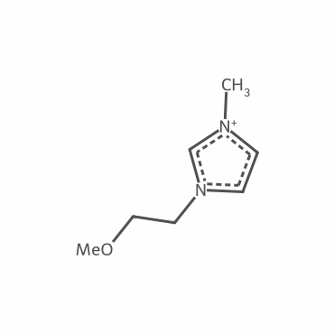 COCCn1cc[n+](C)c1